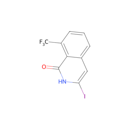 O=c1[nH]c(I)cc2cccc(C(F)(F)F)c12